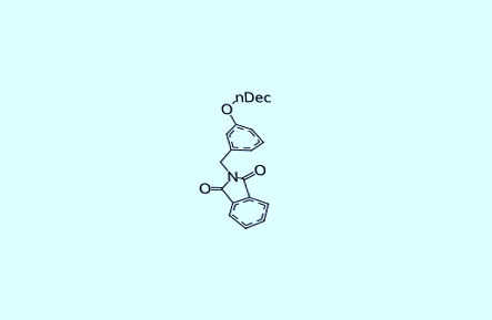 CCCCCCCCCCOc1cccc(CN2C(=O)c3ccccc3C2=O)c1